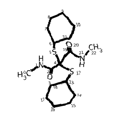 CNC(=O)C(SC1CCCCC1)(SC1CCCCC1)C(=O)NC